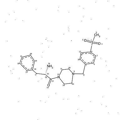 CS(=O)(=O)c1ccc(CN2CCN(C(=O)[C@@H](N)Cc3ccccc3)CC2)cc1